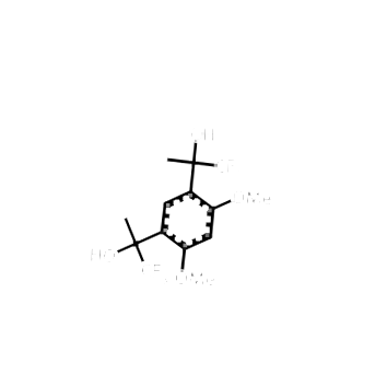 COc1cc(OC)c(C(C)(O)C(F)(F)F)cc1C(C)(O)C(F)(F)F